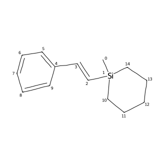 C[Si]1(C=Cc2ccccc2)CCCCC1